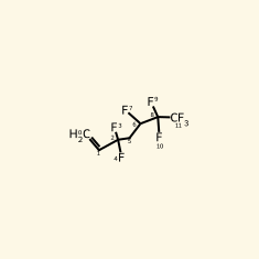 C=CC(F)(F)CC(F)C(F)(F)C(F)(F)F